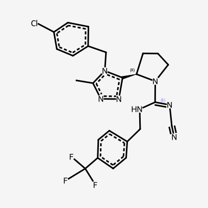 Cc1nnc([C@H]2CCCN2/C(=N/C#N)NCc2ccc(C(F)(F)F)cc2)n1Cc1ccc(Cl)cc1